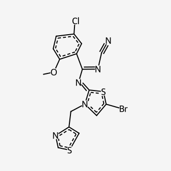 COc1ccc(Cl)cc1C(/N=c1\sc(Br)cn1Cc1cscn1)=N\C#N